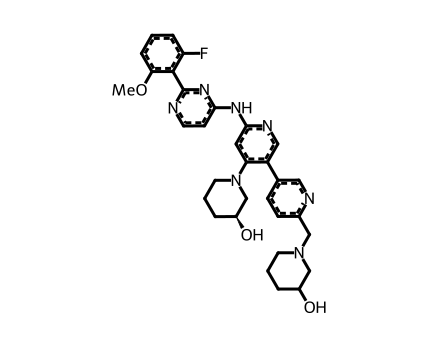 COc1cccc(F)c1-c1nccc(Nc2cc(N3CCC[C@H](O)C3)c(-c3ccc(CN4CCCC(O)C4)nc3)cn2)n1